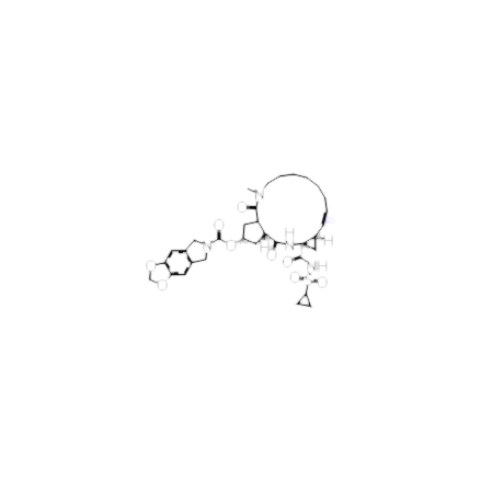 CN1CCCCCC/C=C\[C@@H]2C[C@@]2(C(=O)NS(=O)(=O)C2CC2)NC(=O)[C@@H]2C[C@@H](OC(=O)N3Cc4cc5c(cc4C3)OCO5)CC2C1=O